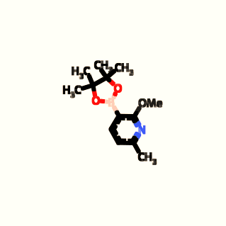 COc1nc(C)ccc1B1OC(C)(C)C(C)(C)O1